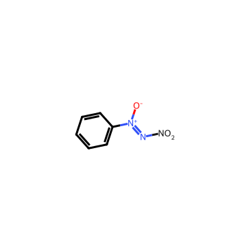 O=[N+]([O-])N=[N+]([O-])c1ccccc1